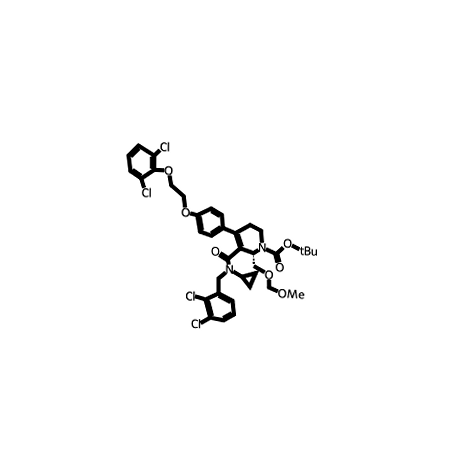 COCOC[C@@H]1C(C(=O)N(Cc2cccc(Cl)c2Cl)C2CC2)=C(c2ccc(OCCOc3c(Cl)cccc3Cl)cc2)CCN1C(=O)OC(C)(C)C